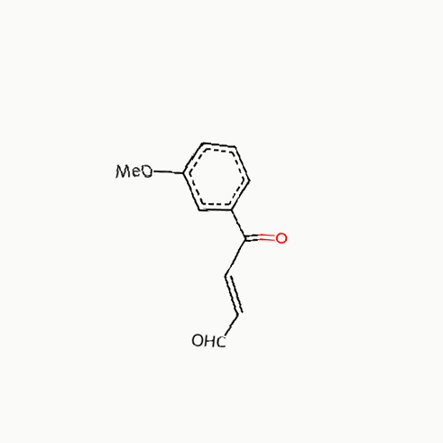 COc1cccc(C(=O)C=CC=O)c1